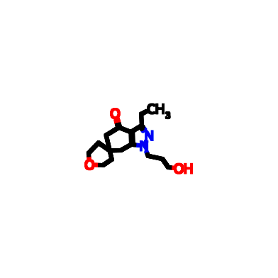 CCc1nn(CCCO)c2c1C(=O)CC1(CCOCC1)C2